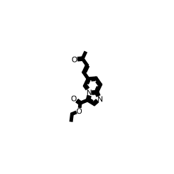 CCOC(=O)c1cnc2ccc(C=CC(C)=O)cn12